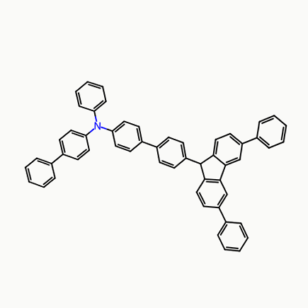 c1ccc(-c2ccc(N(c3ccccc3)c3ccc(-c4ccc(C5c6ccc(-c7ccccc7)cc6-c6cc(-c7ccccc7)ccc65)cc4)cc3)cc2)cc1